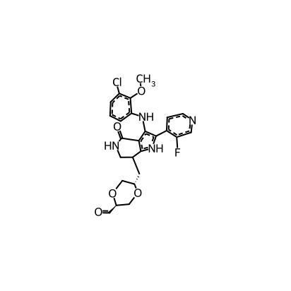 COc1c(Cl)cccc1Nc1c(-c2ccncc2F)[nH]c2c1C(=O)NCC2C[C@H]1CO[C@H](C=O)CO1